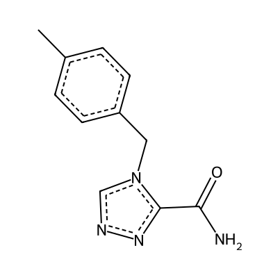 Cc1ccc(Cn2cnnc2C(N)=O)cc1